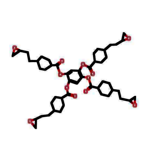 O=C(Oc1cc(OC(=O)C2CCC(CCC3CO3)CC2)c(OC(=O)C2CCC(CCC3CO3)CC2)cc1OC(=O)C1CCC(CCC2CO2)CC1)C1CCC(CCC2CO2)CC1